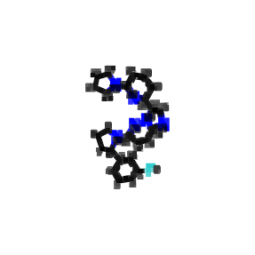 Fc1cccc(C2CCCN2c2ccc3ncc(-c4cccc(N5CCCC5)n4)n3n2)c1